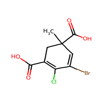 CC1(C(=O)O)C=C(Br)C(Cl)=C(C(=O)O)C1